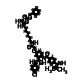 CN(C)C(=N)c1ccc(C(=O)Nc2ccc(OCC(=O)NCCCCCCNC(=N)OC(=O)OCc3ccccc3)cc2C(=O)Nc2ccc(Cl)cn2)cc1